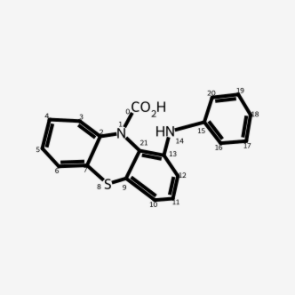 O=C(O)N1c2ccccc2Sc2cccc(Nc3ccccc3)c21